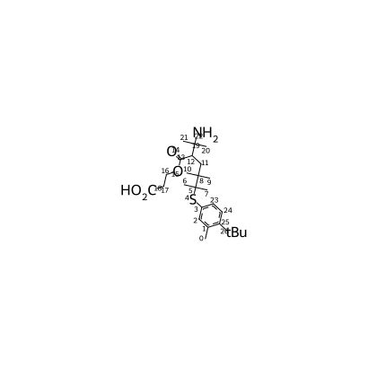 Cc1cc(SC(C)(C)C(C)(C)CC(C(=O)OCCC(=O)O)C(C)(C)N)ccc1C(C)(C)C